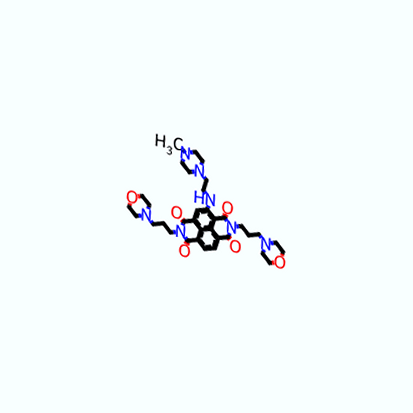 CN1CCN(CCNc2cc3c4c(ccc5c4c2C(=O)N(CCCN2CCOCC2)C5=O)C(=O)N(CCCN2CCOCC2)C3=O)CC1